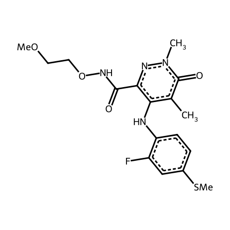 COCCONC(=O)c1nn(C)c(=O)c(C)c1Nc1ccc(SC)cc1F